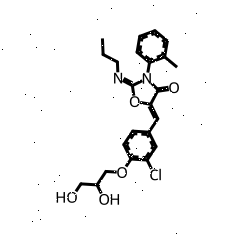 CCC/N=C1/O/C(=C\c2ccc(OCC(O)CO)c(Cl)c2)C(=O)N1c1ccccc1C